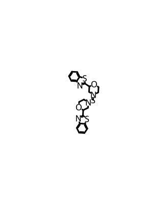 c1ccc2sc(C3CN(SN4CCOC(c5nc6ccccc6s5)C4)CCO3)nc2c1